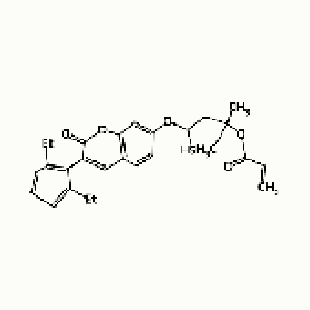 C=CC(=O)OC(C)(C)CC(S)Oc1ccc2cc(-c3c(CC)cccc3CC)c(=O)oc2c1